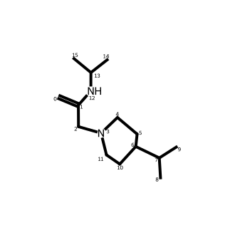 C=C(CN1CCC(C(C)C)CC1)NC(C)C